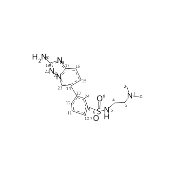 CN(C)CCNS(=O)(=O)c1cccc(-c2ccc3nc(N)nn3c2)c1